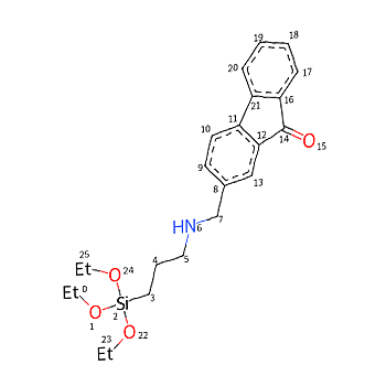 CCO[Si](CCCNCc1ccc2c(c1)C(=O)c1ccccc1-2)(OCC)OCC